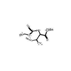 COC(=O)C(NC(=O)OC(C)(C)C)C(C)OC